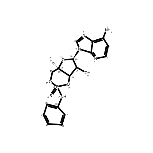 Nc1ccnc2c1ncn2[C@@H]1O[C@@H]2COP(=S)(Nc3ccccc3)OC2C1O